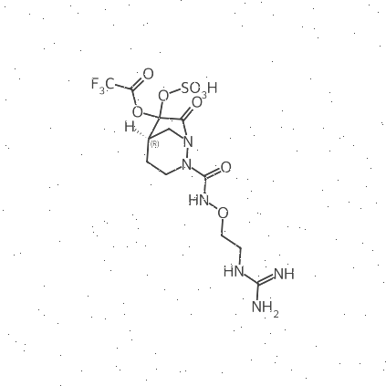 N=C(N)NCCONC(=O)N1CC[C@@H]2CN1C(=O)C2(OC(=O)C(F)(F)F)OS(=O)(=O)O